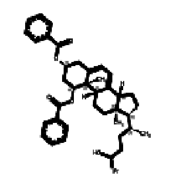 CC(C)C(O)CC[C@@H](C)[C@H]1CC[C@H]2C3=CC=C4C[C@@H](OC(=O)c5ccccc5)C[C@H](OC(=O)c5ccccc5)[C@]4(C)[C@H]3CC[C@]12C